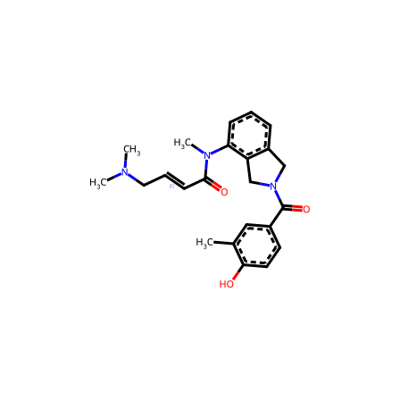 Cc1cc(C(=O)N2Cc3cccc(N(C)C(=O)/C=C/CN(C)C)c3C2)ccc1O